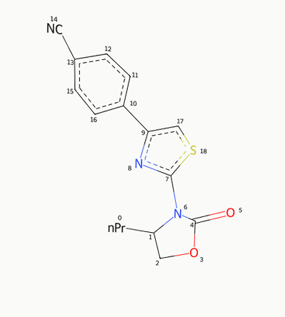 CCCC1COC(=O)N1c1nc(-c2ccc(C#N)cc2)cs1